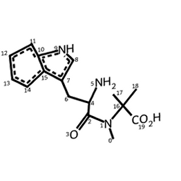 CN(C(=O)C(N)Cc1c[nH]c2ccccc12)C(C)(C)C(=O)O